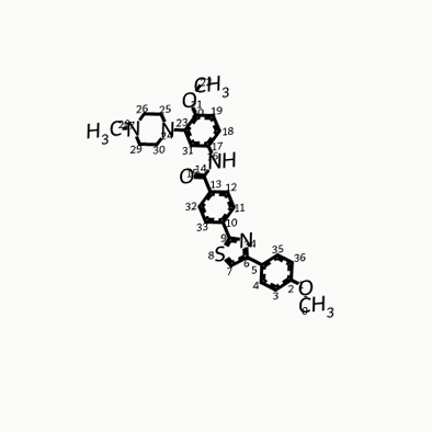 COc1ccc(-c2csc(-c3ccc(C(=O)Nc4ccc(OC)c(N5CCN(C)CC5)c4)cc3)n2)cc1